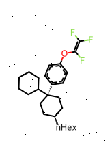 CCCCCC[C@H]1CC[C@@](c2ccc(OC(F)=C(F)F)cc2)(C2CCCCC2)CC1